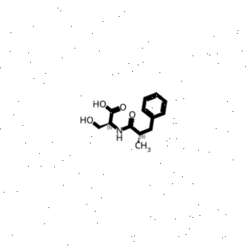 C[C@@H](Cc1ccccc1)C(=O)N[C@@H](CO)C(=O)O